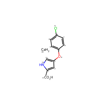 O=C(O)c1cc(Oc2ccc(Cl)cc2)c[nH]1.[CaH2]